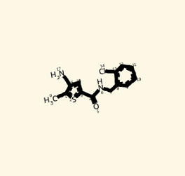 Cc1sc(C(=O)NCc2ccccc2Cl)cc1N